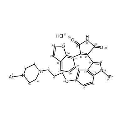 CC(=O)N1CCN(CCCOc2ccc3c(c2)c(C2=C(c4cccc5ccoc45)C(=O)NC2=O)cn3C(C)C)CC1.Cl